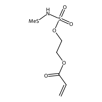 C=CC(=O)OCCOS(=O)(=O)NSC